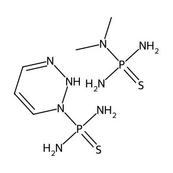 CN(C)P(N)(N)=S.NP(N)(=S)N1C=CC=NN1